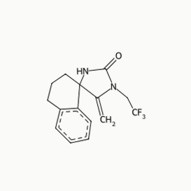 C=C1N(CC(F)(F)F)C(=O)NC12CCCc1ccccc12